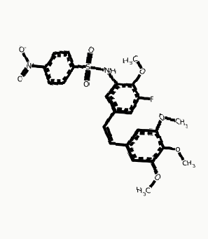 COc1cc(/C=C\c2cc(F)c(OC)c(NS(=O)(=O)c3ccc([N+](=O)[O-])cc3)c2)cc(OC)c1OC